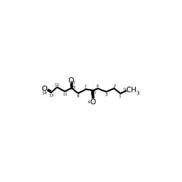 CCCCCC(=O)CCC(=O)CCC=O